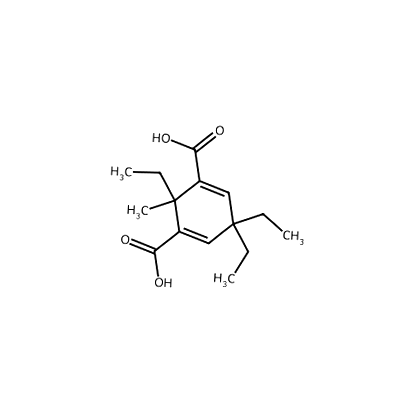 CCC1(CC)C=C(C(=O)O)C(C)(CC)C(C(=O)O)=C1